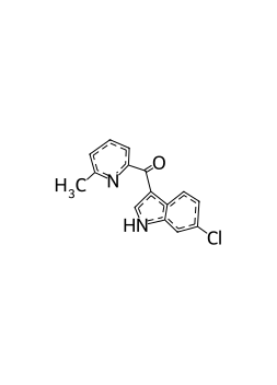 Cc1cccc(C(=O)c2c[nH]c3cc(Cl)ccc23)n1